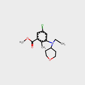 CCN(c1cc(Cl)cc(C(=O)OC)c1C)C1CCOCC1